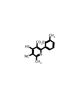 CCOC(=O)c1c(-c2cccc(C)c2)nc(C)c(C#N)c1S